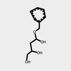 OCC(O)CC(O)OCc1ccccc1